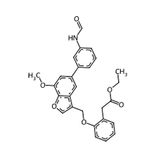 CCOC(=O)Cc1ccccc1OCc1coc2c(OC)cc(-c3cccc(NC=O)c3)cc12